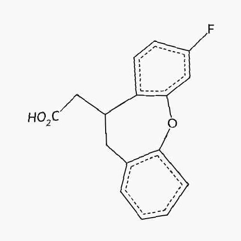 O=C(O)CC1Cc2ccccc2Oc2cc(F)ccc21